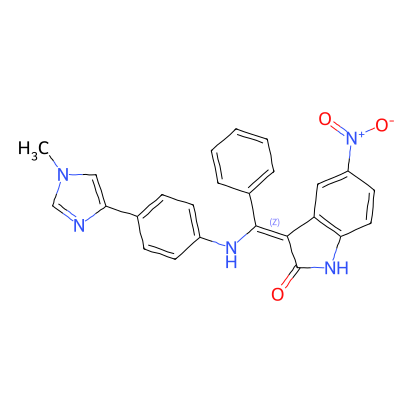 Cn1cnc(-c2ccc(N/C(=C3\C(=O)Nc4ccc([N+](=O)[O-])cc43)c3ccccc3)cc2)c1